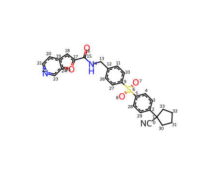 N#CC1(c2ccc(S(=O)(=O)c3ccc(CNC(=O)c4cc5ccncc5o4)cc3)cc2)CCCC1